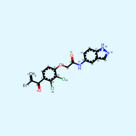 C=C(CC)C(=O)c1ccc(OCC(=O)Nc2ccc3[nH]ncc3c2)c(Cl)c1Cl